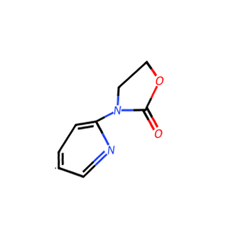 O=C1OCCN1c1cc[c]cn1